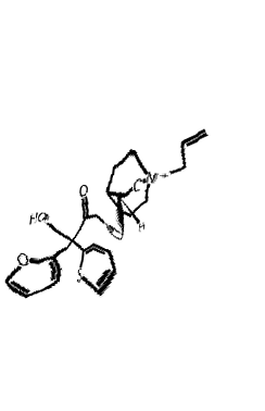 C=CC[N+]12CCC(CC1)[C@@H](OC(=O)C(O)(c1ccco1)c1cccs1)C2